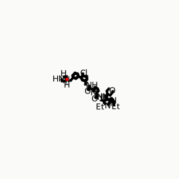 CCc1nc2c(cnn2CC)c(NC2CCOCC2)c1CNC(=O)c1cccc(C(=O)NCc2ccc(Cl)c(-c3cccc(CN4C[C@@H]5C[C@@H]4CN5)c3)c2)n1